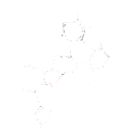 Nc1c(C(=O)c2ccco2)oc2nc(-c3ccccc3Cl)c(-c3ccc(Cl)cc3)cc12